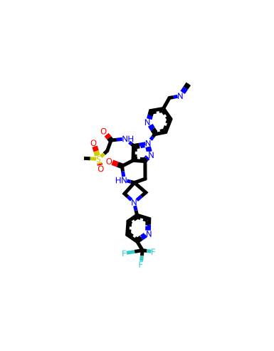 C=NCc1ccc(-n2nc3c(c2NC(=O)CS(C)(=O)=O)C(=O)NC2(C3)CN(c3ccc(C(F)(F)F)nc3)C2)nc1